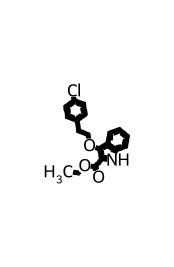 CCOC(=O)c1[nH]c2ccccc2c1OCCc1ccc(Cl)cc1